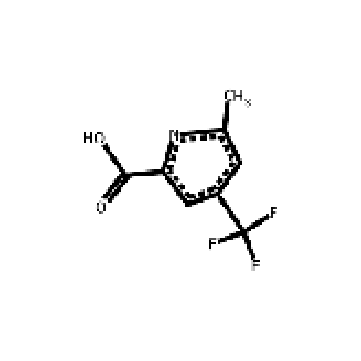 Cc1cc(C(F)(F)F)cc(C(=O)O)n1